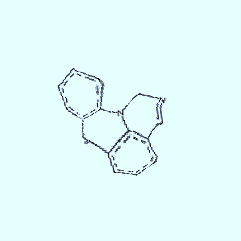 C1=NCN2c3ccccc3Sc3cccc1c32